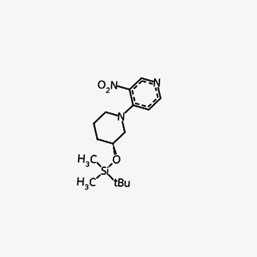 CC(C)(C)[Si](C)(C)O[C@H]1CCCN(c2ccncc2[N+](=O)[O-])C1